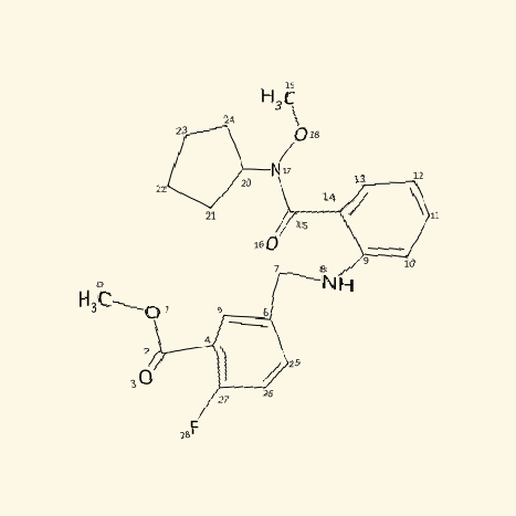 COC(=O)c1cc(CNc2ccccc2C(=O)N(OC)C2CCCC2)ccc1F